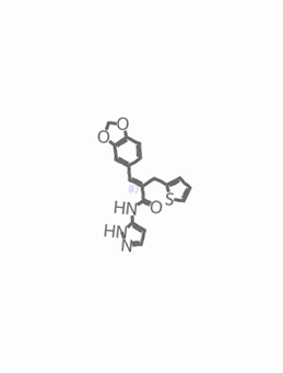 O=C(Nc1ccn[nH]1)/C(=C/c1ccc2c(c1)OCO2)Cc1cccs1